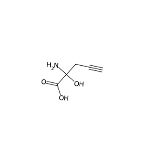 C#CCC(N)(O)C(=O)O